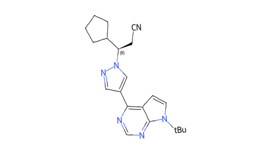 CC(C)(C)n1ccc2c(-c3cnn([C@H](CC#N)C4CCCC4)c3)ncnc21